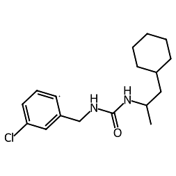 CC(CC1CCCCC1)NC(=O)NCc1[c]ccc(Cl)c1